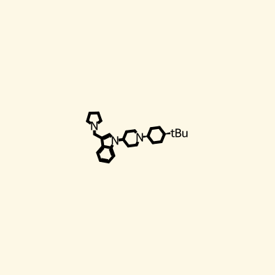 CC(C)(C)[C@H]1CC[C@@H](N2CCC(n3cc(CN4CCCC4)c4ccccc43)CC2)CC1